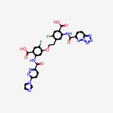 O=C(Nc1cc(OCCc2cc(NC(=O)c3ccc4nnnn4n3)c(C(=O)O)cc2F)c(F)cc1C(=O)O)c1ccc(-n2ccnc2)nn1